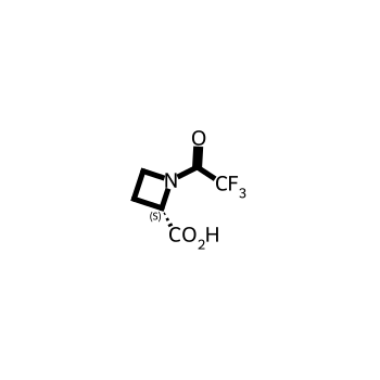 O=C(O)[C@@H]1CCN1C(=O)C(F)(F)F